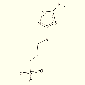 Nc1nnc(SCCCS(=O)(=O)O)s1